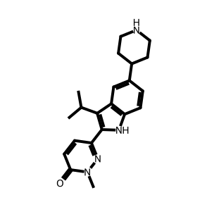 CC(C)c1c(-c2ccc(=O)n(C)n2)[nH]c2ccc(C3CCNCC3)cc12